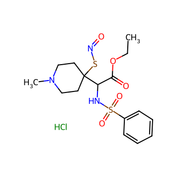 CCOC(=O)C(NS(=O)(=O)c1ccccc1)C1(SN=O)CCN(C)CC1.Cl